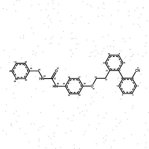 N#Cc1ccccc1-c1ccccc1CCOc1ccc(NC(=O)NCc2cccnc2)cc1